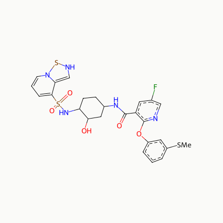 CSc1cccc(Oc2ncc(F)cc2C(=O)NC2CCC(NS(=O)(=O)C3=CC=CN4SNC=C34)C(O)C2)c1